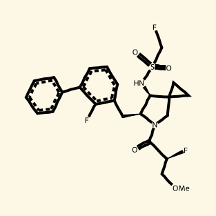 COC[C@H](F)C(=O)N1CC2(CC2)[C@H](NS(=O)(=O)CF)[C@@H]1Cc1cccc(-c2ccccc2)c1F